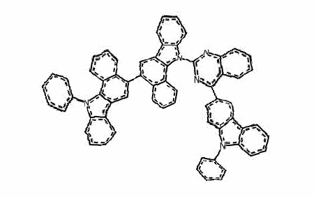 c1ccc(-n2c3ccccc3c3cc(-c4nc(-n5c6ccccc6c6cc(-c7cc8c9ccccc9n(-c9ccccc9)c8c8ccccc78)c7ccccc7c65)nc5ccccc45)ccc32)cc1